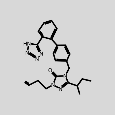 C=CCCn1nc(C(C)CC)n(Cc2ccc(-c3ccccc3-c3nnn[nH]3)cc2)c1=O